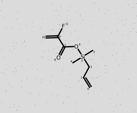 C=CC[Si](C)(C)OC(=O)C(=C)F